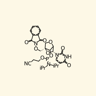 CC(C)N(C(C)C)P(OCCC#N)OC1C2OC[C@]1(CON1C(=O)c3ccccc3C1=O)O[C@H]2n1ccc(=O)[nH]c1=O